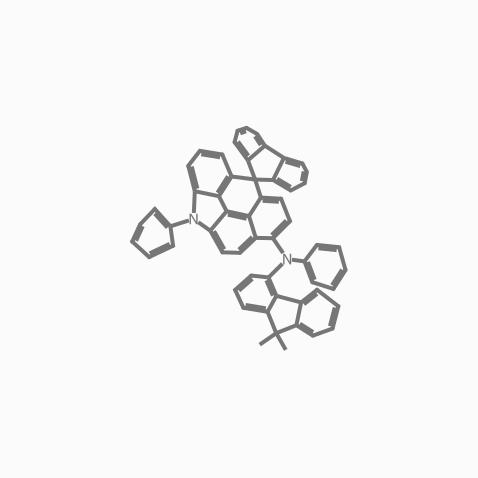 CC1(C)c2ccccc2-c2c(N(c3ccccc3)c3ccc4c5c3ccc3c5c5c(cccc5n3-c3ccccc3)C43c4ccccc4-c4ccccc43)cccc21